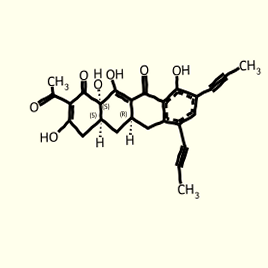 CC#Cc1cc(C#CC)c2c(c1O)C(=O)C1=C(O)[C@]3(O)C(=O)C(C(C)=O)=C(O)C[C@@H]3C[C@@H]1C2